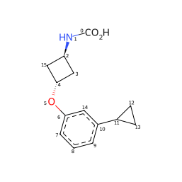 O=C(O)N[C@H]1C[C@H](Oc2cccc(C3CC3)c2)C1